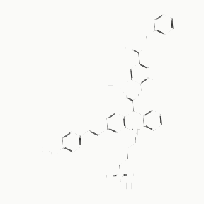 COc1ccc(C=Cc2ccc3c(c2)N(CCCCS(=O)(=O)O)c2ccccc2C3C(=O)Oc2c(C)cc(C(=O)OCc3ccccc3)cc2C)cc1